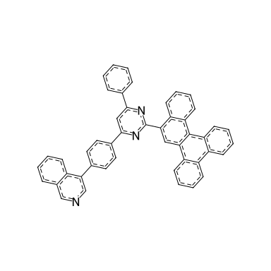 c1ccc(-c2cc(-c3ccc(-c4cncc5ccccc45)cc3)nc(-c3cc4c5ccccc5c5ccccc5c4c4ccccc34)n2)cc1